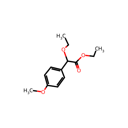 CCOC(=O)C(OCC)c1ccc(OC)cc1